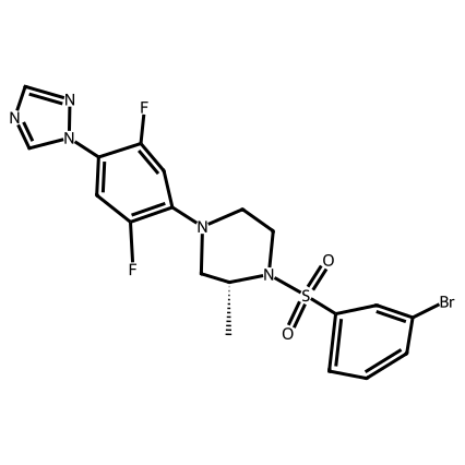 C[C@@H]1CN(c2cc(F)c(-n3cncn3)cc2F)CCN1S(=O)(=O)c1cccc(Br)c1